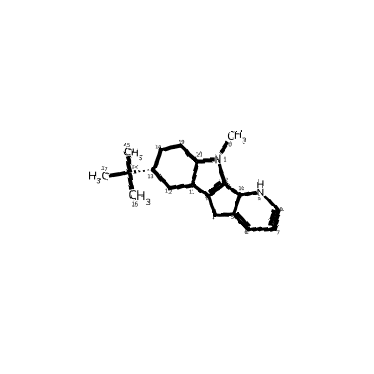 CN1C2=C(CC3=CC=CNC32)C2C[C@H](C(C)(C)C)CCC21